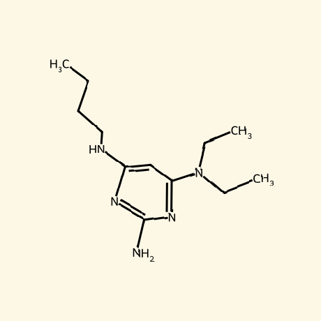 CCCCNc1cc(N(CC)CC)nc(N)n1